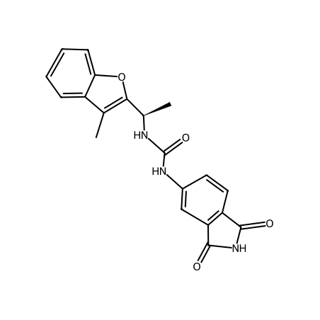 Cc1c([C@@H](C)NC(=O)Nc2ccc3c(c2)C(=O)NC3=O)oc2ccccc12